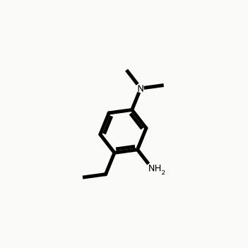 CCc1ccc(N(C)C)cc1N